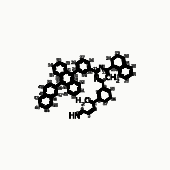 C=C(/C=C\C=N)C1=CC(/C=N/C(=N\C(=C)C2=c3ccccc3=CCC2)c2cccc(-c3c4ccccc4c(-c4ccc5ccccc5c4)c4ccccc34)c2)=CCC1